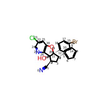 N#C[C@@H]1C[C@@H](c2ccccc2)[C@]2(c3ccc(Br)cc3)Oc3cc(Cl)cnc3[C@]12O